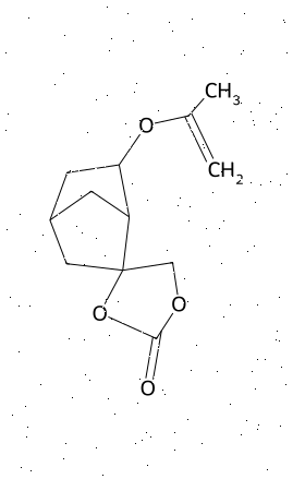 C=C(C)OC1CC2CC1C1(COC(=O)O1)C2